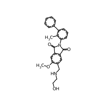 COc1cc2c(cc1CNCCO)C(=O)N(c1cccc(-c3ccccc3)c1C)C2=O